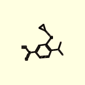 CC(C)c1ccc(S(=O)O)cc1OC1CC1